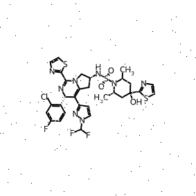 CC1CC(O)(c2nccs2)C[C@@H](C)N1S(=O)(=O)N[C@H]1CC2=C(c3ccn(C(F)F)n3)[C@H](c3ccc(F)cc3Cl)N=C(c3nccs3)N2C1